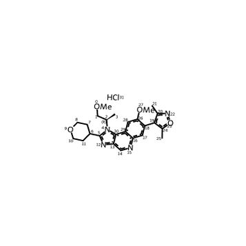 COC[C@@H](C)n1c(C2CCOCC2)nc2cnc3cc(-c4c(C)noc4C)c(OC)cc3c21.Cl